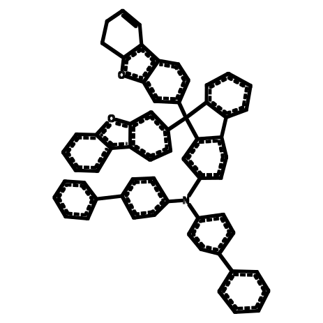 C1=Cc2c(oc3cc(C4(c5ccc6c(c5)oc5ccccc56)c5ccccc5-c5ccc(N(c6ccc(-c7ccccc7)cc6)c6ccc(-c7ccccc7)cc6)cc54)ccc23)CC1